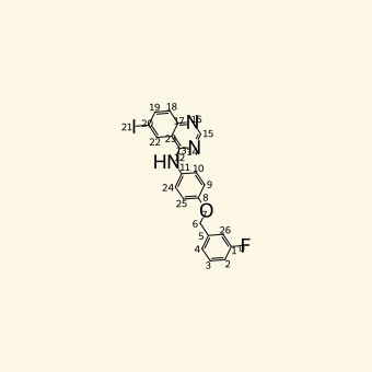 Fc1cccc(COc2ccc(Nc3ncnc4ccc(I)cc34)cc2)c1